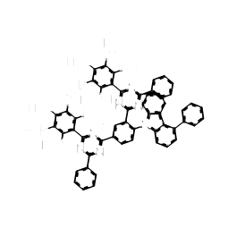 Bc1c(B)c(B)c(-c2nc(-c3ccccc3)nc(-c3ccc(-n4c5ccccc5c5c(-c6ccccc6)cccc54)c(-c4nc(-c5ccccc5)nc(-c5c(B)c(B)c(B)c(B)c5B)n4)c3)n2)c(B)c1B